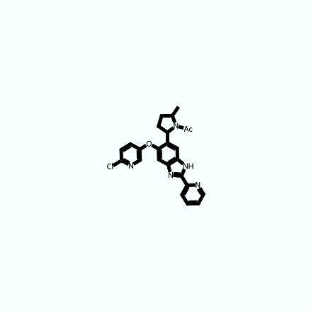 CC(=O)N1C(C)CCC1c1cc2[nH]c(-c3ccccn3)nc2cc1Oc1ccc(Cl)nc1